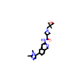 Cc1ncc(-c2ccc3cnc(NC(=O)C4CN(CC5(C)COC5)C4)cc3c2)n1C